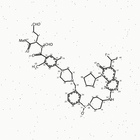 CNC(=O)C(CCC=O)N(C=O)C(=O)c1cc(F)c(N2CCN(Cc3cccc([S+]([O-])N4CCC(Nc5ncc6cc(C(F)F)c(=O)n(C7CCCC7)c6n5)CC4)c3)CC2)cc1C